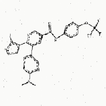 CN(C)c1ccc(-c2cc(C(=O)Nc3ccc(OC(F)(F)Cl)cc3)cnc2-c2ccnn2C)cn1